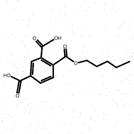 CCCCCOC(=O)c1ccc(C(=O)O)cc1C(=O)O